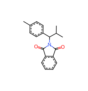 Cc1ccc(C(C(C)C)N2C(=O)c3ccccc3C2=O)cc1